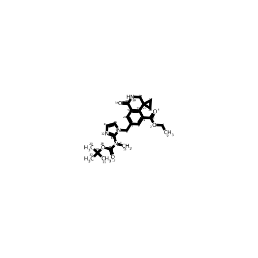 CCOC(=O)c1cc(Cn2ccnc2N(C)C(=O)OC(C)(C)C)cc2c1C1(CC1)CNC2=O